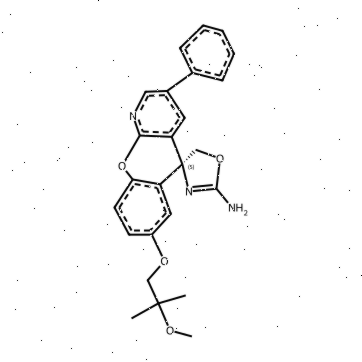 COC(C)(C)COc1ccc2c(c1)[C@@]1(COC(N)=N1)c1cc(-c3ccccc3)cnc1O2